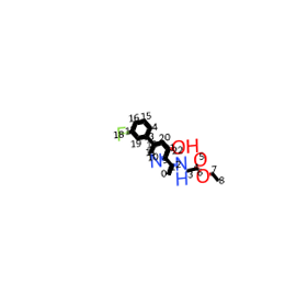 C=C(NCC(=O)OCC)c1ncc(-c2cccc(F)c2)cc1O